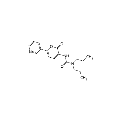 CCCN(CCC)C(=O)Nc1ccc(-c2cccnc2)oc1=O